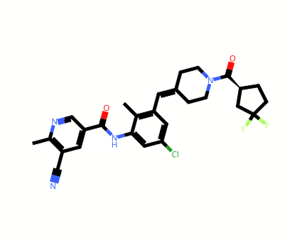 Cc1ncc(C(=O)Nc2cc(Cl)cc(C=C3CCN(C(=O)[C@H]4CCC(F)(F)C4)CC3)c2C)cc1C#N